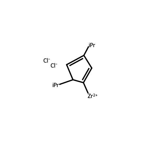 CC(C)C1=CC(C(C)C)[C]([Zr+2])=C1.[Cl-].[Cl-]